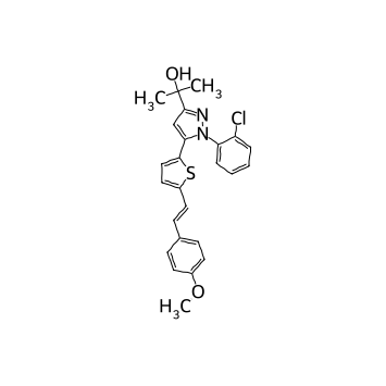 COc1ccc(C=Cc2ccc(-c3cc(C(C)(C)O)nn3-c3ccccc3Cl)s2)cc1